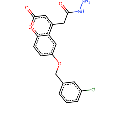 NNC(=O)Cc1cc(=O)oc2ccc(OCc3cccc(Cl)c3)cc12